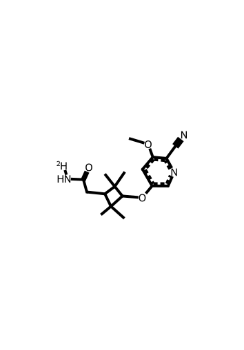 [2H]NC(=O)CC1C(C)(C)C(Oc2cnc(C#N)c(OC)c2)C1(C)C